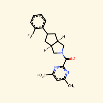 Cc1cc(C(=O)O)nc(C(=O)N2C[C@H]3CC(c4ccccc4C(F)(F)F)C[C@H]3C2)n1